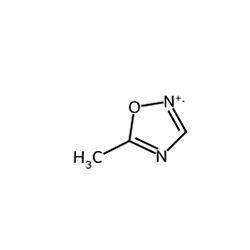 CC1=NC=[N+]O1